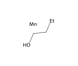 CCCCO.[Mn]